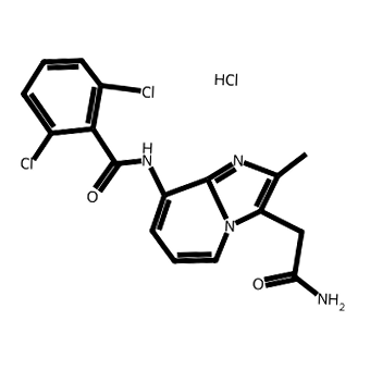 Cc1nc2c(NC(=O)c3c(Cl)cccc3Cl)cccn2c1CC(N)=O.Cl